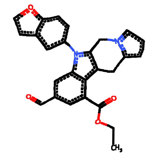 CCOC(=O)c1cc(C=O)cc2c1c1c(n2-c2ccc3occc3c2)Cn2cccc2C1